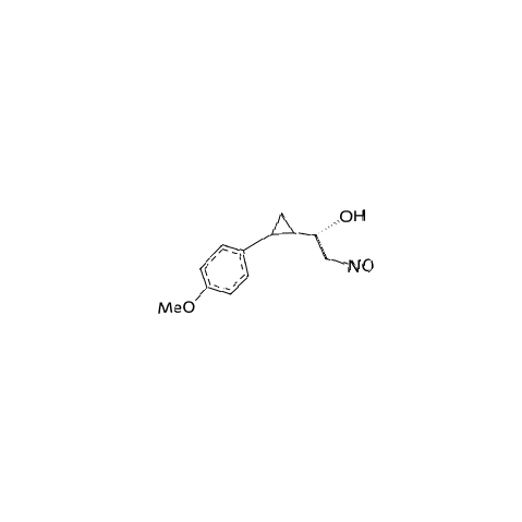 COc1ccc(C2CC2[C@H](O)CN=O)cc1